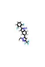 CCn1nc(C(F)(F)F)cc1-c1ccc2[nH]c(-c3c(F)cccc3F)cc2c1